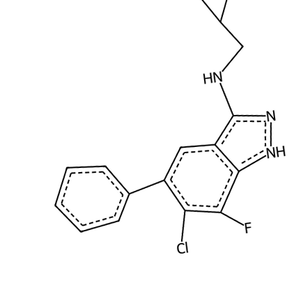 Fc1c(Cl)c(-c2ccccc2)cc2c(NCC3CC3)n[nH]c12